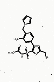 COC(=O)NS(=O)(=O)c1sc(CC(C)C)cc1-c1ccc(Cn2ccnc2)c(C)c1